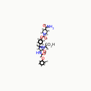 Cc1ccccc1OCC(=O)N[C@@H](CC(C)(C)c1ccc(OC(=O)N2CCC(C(N)=O)CC2)cc1)C(=O)NC(C)C(=O)O